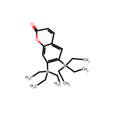 CC[Si](CC)(CC)c1cc2ccc(=O)oc2cc1[Si](CC)(CC)CC